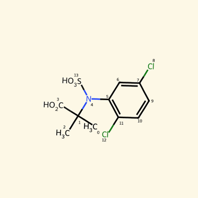 CC(C)(C(=O)O)N(c1cc(Cl)ccc1Cl)S(=O)(=O)O